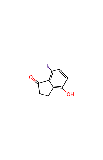 O=C1CCc2c(O)ccc(I)c21